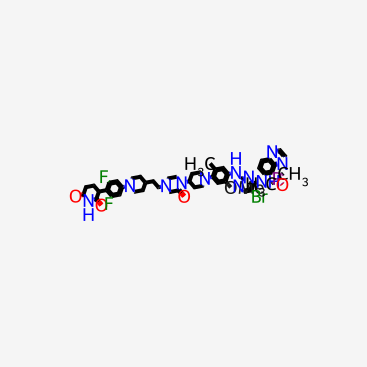 COc1cc(N2CCC(N3CCN(CCC4CCN(c5cc(F)c(C6CCC(=O)NC6=O)c(F)c5)CC4)CC3=O)CC2)c(C)cc1Nc1ncc(Br)c(Nc2ccc3nccnc3c2P(C)(C)=O)n1